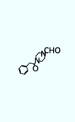 O=[C]N1CCN(C(=O)Cc2ccccc2)CC1